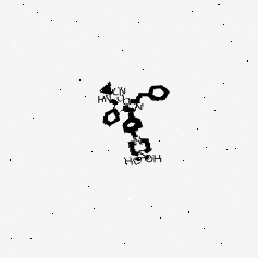 N#CC1(NC(=O)[C@@H]2CCCC[C@H]2c2oc(CC3CCCCC3)nc2-c2ccc(N3CCS(O)(O)CC3)cc2)CC1